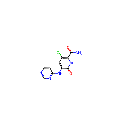 NC(=O)c1[nH]c(=O)c(Nc2ccncn2)cc1Cl